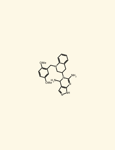 COc1ccc(OC)c(CN2CC(N3C(N)=Nc4[nH]ncc4C3N)Cc3ccccc32)c1